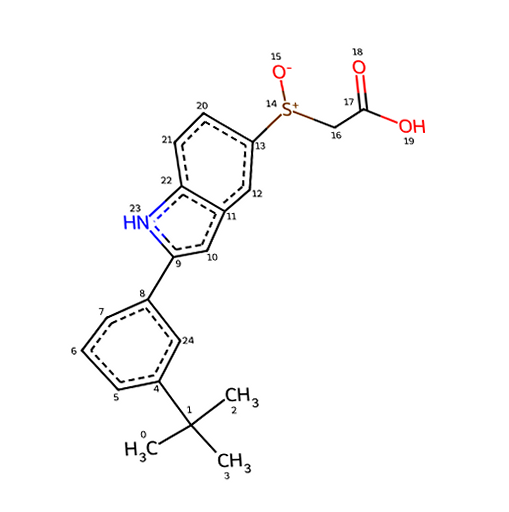 CC(C)(C)c1cccc(-c2cc3cc([S+]([O-])CC(=O)O)ccc3[nH]2)c1